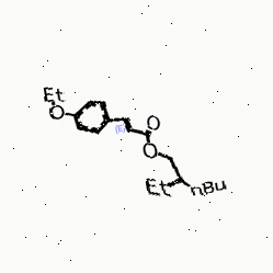 CCCCC(CC)COC(=O)/C=C/c1ccc(OCC)cc1